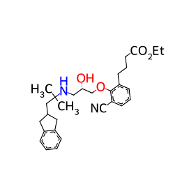 CCOC(=O)CCCc1cccc(C#N)c1OC[C@@H](O)CNC(C)(C)CC1Cc2ccccc2C1